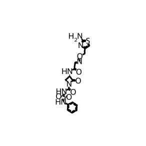 Nc1nc(CON=CC(=O)N[C@H]2CN(C(=O)NS(=O)(=O)Nc3ccccc3)C2=O)cs1